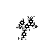 CNc1nc(-c2cccc(NC(=O)c3ccc(C(=O)O)cc3)c2)c2cc(OC)c(OC)cc2n1.Cc1ccc(S(=O)(=O)O)cc1